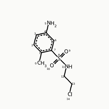 Cc1ccc(N)cc1S(=O)(=O)NCCCl